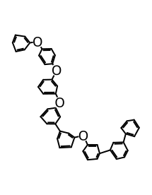 c1ccc(Oc2ccc(Oc3cccc(Oc4cccc(-c5cccc(Oc6cccc(-c7cccc(-c8ccccc8)c7)c6)c5)c4)c3)cc2)cc1